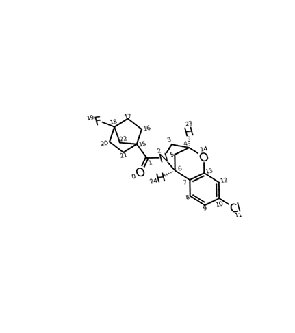 O=C(N1C[C@@H]2C[C@H]1c1ccc(Cl)cc1O2)C12CCC(F)(CC1)C2